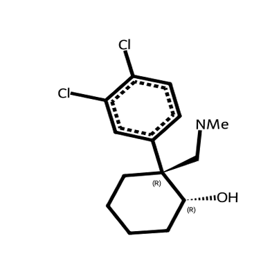 CNC[C@]1(c2ccc(Cl)c(Cl)c2)CCCC[C@H]1O